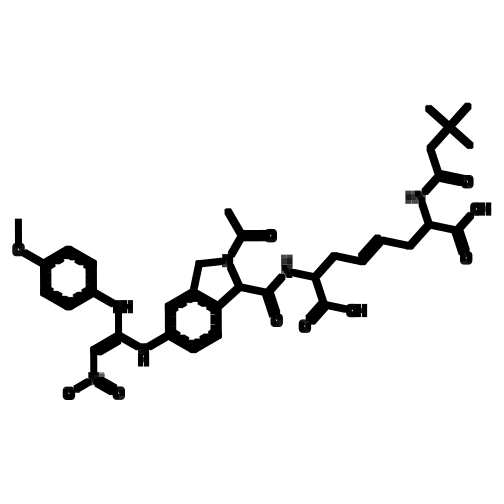 COc1ccc(N/C(=C/[N+](=O)[O-])Nc2ccc3c(c2)CN(C(C)=O)C3C(=O)NC(C/C=C/CC(NC(=O)CC(C)(C)C)C(=O)O)C(=O)O)cc1